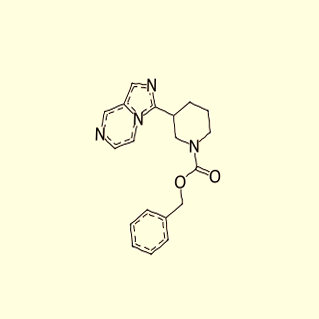 O=C(OCc1ccccc1)N1CCCC(c2ncc3cnccn23)C1